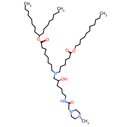 CCCCCCCCCCCOC(=O)CCCCCN(CCCCCCCC(=O)OC(CCCCCCCC)CCCCCCCC)CC(O)CCCCNC(=O)CN1CCN(C)CC1